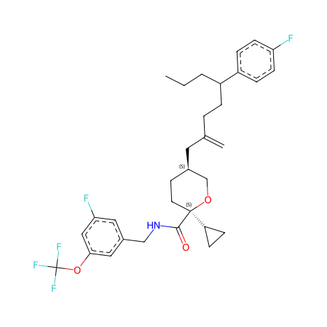 C=C(CCC(CCC)c1ccc(F)cc1)C[C@@H]1CC[C@@](C(=O)NCc2cc(F)cc(OC(F)(F)F)c2)(C2CC2)OC1